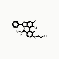 CNC(=O)c1cnc(OCCO)c(F)c1-c1c(Cl)c(F)cc2c1CC(c1ccccc1)O2